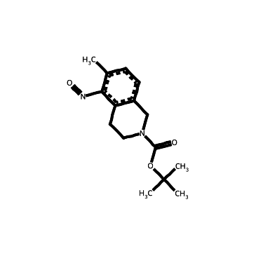 Cc1ccc2c(c1N=O)CCN(C(=O)OC(C)(C)C)C2